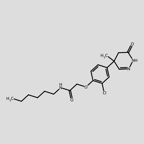 CCCCCCNC(=O)COc1ccc(C2(C)C=NNC(=O)C2)cc1Cl